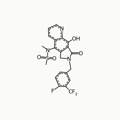 CN(c1c2c(c(O)c3ncccc13)C(=O)N(Cc1ccc(F)c(C(F)(F)F)c1)C2)S(C)(=O)=O